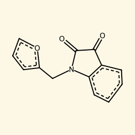 O=C1C(=O)N(Cc2ccco2)c2ccccc21